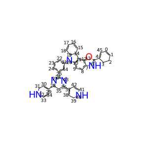 C1=CCCC(C2Nc3ccc4c(c3O2)C2C=CC=CC2N4c2cccc(C3=NC(C4=CCNC=C4)CC(C4=CCNC=C4)=N3)c2)=C1